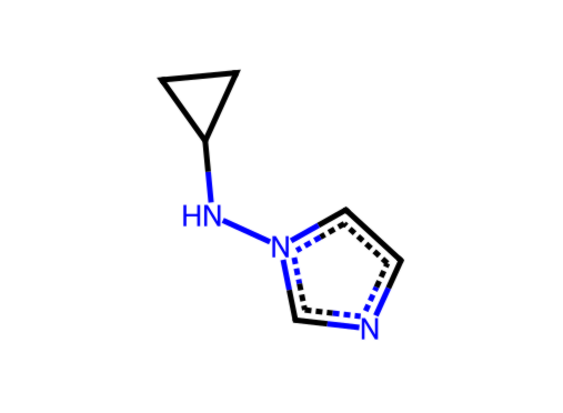 c1cn(NC2CC2)cn1